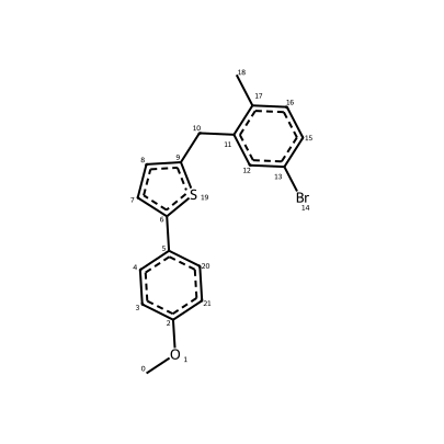 COc1ccc(-c2ccc(Cc3cc(Br)ccc3C)s2)cc1